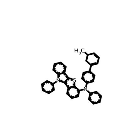 CC1C=CC=C(c2ccc(N(c3ccccc3)c3cccc4c3sc3c5ccccc5n(-c5ccccc5)c43)cc2)C1